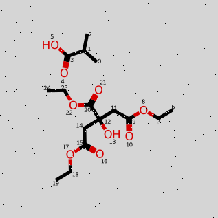 CC(C)C(=O)O.CCOC(=O)CC(O)(CC(=O)OCC)C(=O)OCC